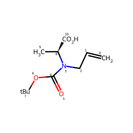 C=CCN(C(=O)OC(C)(C)C)[C@@H](C)C(=O)O